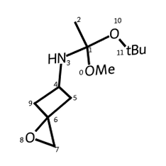 COC(C)(NC1CC2(CO2)C1)OC(C)(C)C